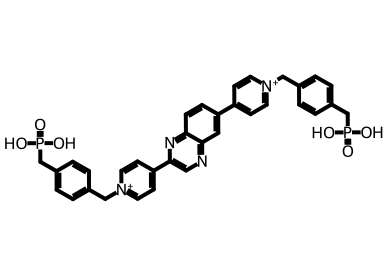 O=P(O)(O)Cc1ccc(C[n+]2ccc(-c3ccc4nc(-c5cc[n+](Cc6ccc(CP(=O)(O)O)cc6)cc5)cnc4c3)cc2)cc1